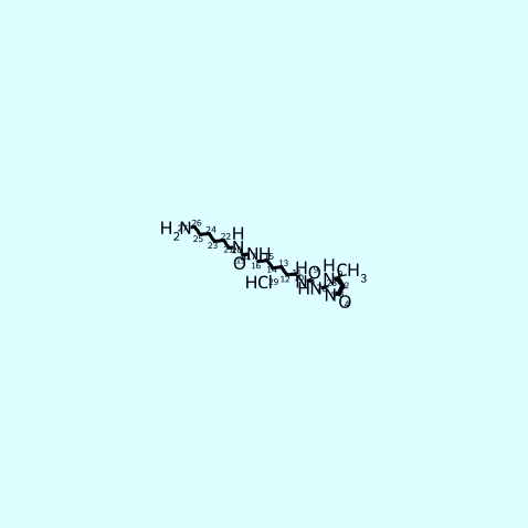 Cc1cc(=O)nc(NC(=O)NCCCCCCNC(=O)NCCCCCCN)[nH]1.Cl